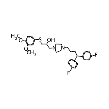 COc1ccc(SCC(O)CN2CCN(CCCC(c3ccc(F)cc3)c3ccc(F)cc3)CC2)cc1OC